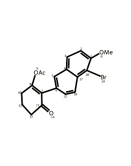 COc1ccc2cc(C3=C(OC(C)=O)CCCC3=O)ccc2c1Br